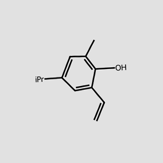 C=Cc1cc(C(C)C)cc(C)c1O